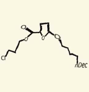 CCCCCCCCCCCCCCOc1ccc(C(=O)OCCCCl)o1